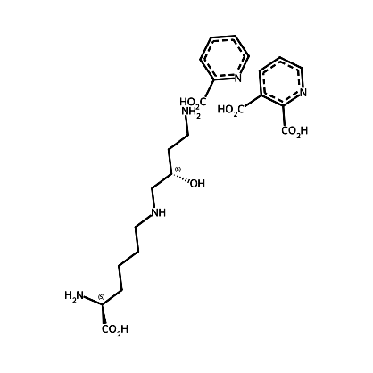 NCC[C@H](O)CNCCCC[C@H](N)C(=O)O.O=C(O)c1ccccn1.O=C(O)c1cccnc1C(=O)O